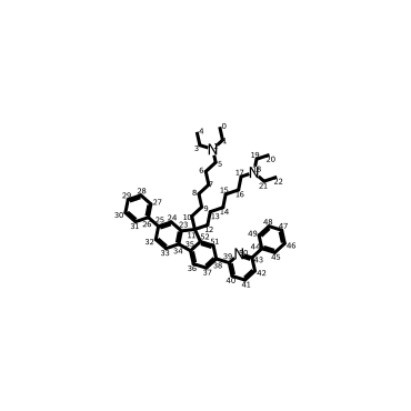 CCN(CC)CCCCCCC1(CCCCCCN(CC)CC)c2cc(-c3ccccc3)ccc2-c2ccc(-c3cccc(-c4ccccc4)n3)cc21